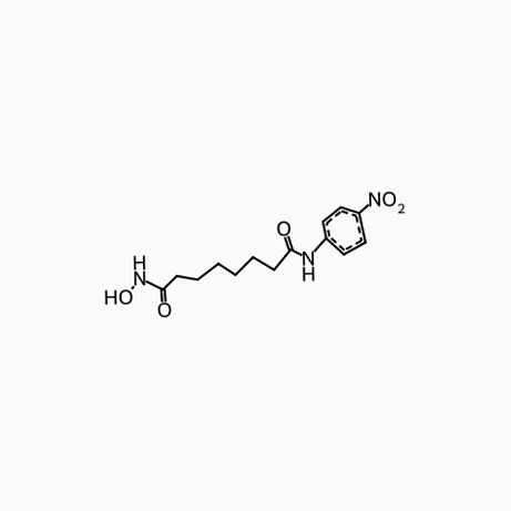 O=C(CCCCCCC(=O)Nc1ccc([N+](=O)[O-])cc1)NO